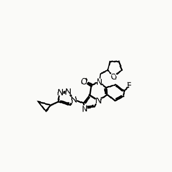 O=c1c2c(-n3cc(C4CC4)nn3)ncn2c2ccc(F)cc2n1CC1CCCO1